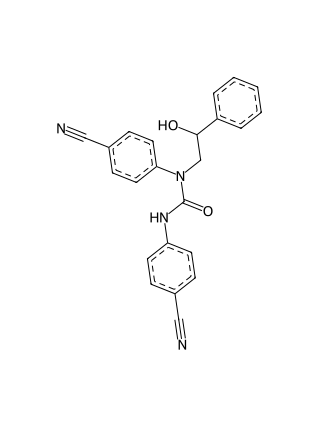 N#Cc1ccc(NC(=O)N(CC(O)c2ccccc2)c2ccc(C#N)cc2)cc1